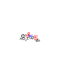 CC(C)(C)OC(=O)Oc1ccc(CC(NC(=O)OCc2ccccc2)C(=O)O)cc1